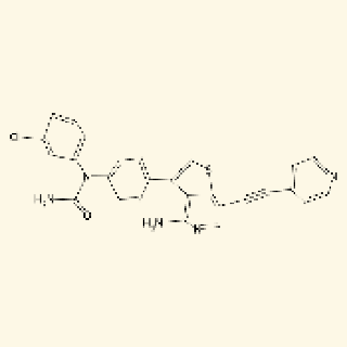 NC(=O)N(c1ccc(-c2csc3c(C#Cc4ccncc4)cnc(N)c23)cc1)c1cccc(Cl)c1